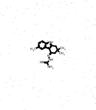 Cc1ccc2[nH]c3c(c2c1)/C(=N/NC(=N)N)CC(C)(C)C3